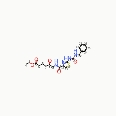 CCOC(=O)CCCC(=O)CNC(=O)c1csc(NC(=O)NCc2ccccc2)n1